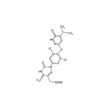 C=C1NC(=O)N(c2cc(Cl)c(Oc3cc(C(C)C)c(=O)[nH]n3)c(Cl)c2)N=C1CC#N